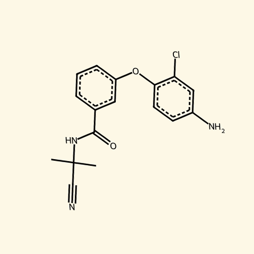 CC(C)(C#N)NC(=O)c1cccc(Oc2ccc(N)cc2Cl)c1